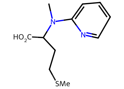 CSCCC(C(=O)O)N(C)c1ccccn1